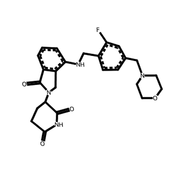 O=C1CCC(N2Cc3c(NCc4ccc(CN5CCOCC5)cc4F)cccc3C2=O)C(=O)N1